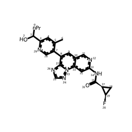 CCCC(O)c1cc(C)c(-c2cc3cnc(NC(=O)[C@H]4C[C@H]4F)cc3n3ncnc23)cn1